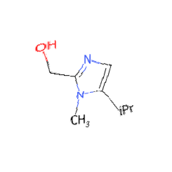 CC(C)c1cnc(CO)n1C